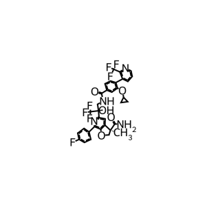 C[C@]1(C(N)=O)COc2c1cc([C@@](O)(CNC(=O)c1ccc(-c3cccnc3C(F)(F)F)c(OC3CC3)c1)C(F)(F)F)nc2-c1ccc(F)cc1